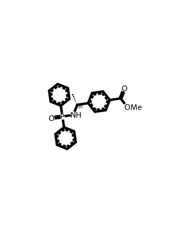 COC(=O)c1ccc([C@@H](C)NP(=O)(c2ccccc2)c2ccccc2)cc1